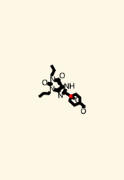 CCCn1c(=O)c2[nH]c(C34CCC(C=O)(CC3)OC4)nc2n(CCC)c1=O